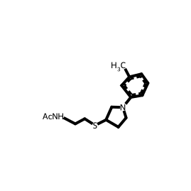 CC(=O)NCCSC1CCN(c2cccc(C)c2)C1